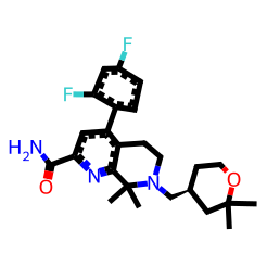 CC1(C)C[C@@H](CN2CCc3c(-c4ccc(F)cc4F)cc(C(N)=O)nc3C2(C)C)CCO1